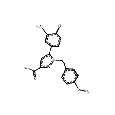 COc1ccc(Cn2nc(C(=O)O)cc2-c2ccc(Cl)c(C)c2)cc1